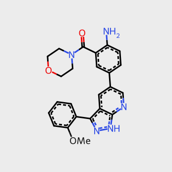 COc1ccccc1-c1n[nH]c2ncc(-c3ccc(N)c(C(=O)N4CCOCC4)c3)cc12